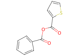 O=C(OC(=O)c1cccs1)c1ccccc1